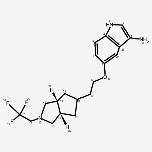 Nc1c[nH]c2ccc(OCCC3C[C@@H]4CN(CC(F)(F)F)C[C@@H]4C3)cc12